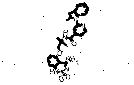 Cc1cc2ccccc2n1-c1cc(C(=O)NC(C)(C)COc2cccc3c2C(N)=NS(=O)(=O)N3)ccn1